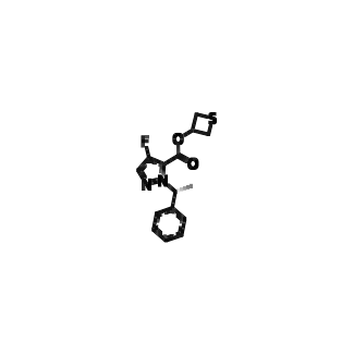 C[C@H](c1ccccc1)n1ncc(F)c1C(=O)OC1CSC1